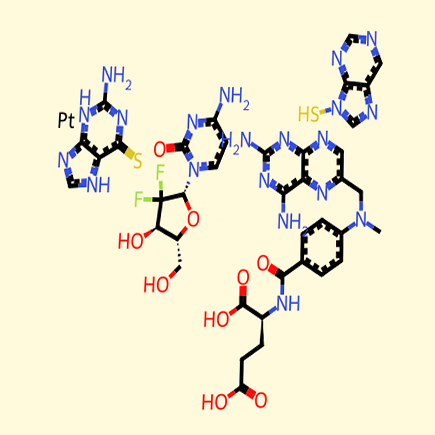 CN(Cc1cnc2nc(N)nc(N)c2n1)c1ccc(C(=O)N[C@@H](CCC(=O)O)C(=O)O)cc1.Nc1ccn([C@@H]2O[C@H](CO)[C@@H](O)C2(F)F)c(=O)n1.Nc1nc(=S)c2[nH]cnc2[nH]1.Sn1cnc2cncnc21.[Pt]